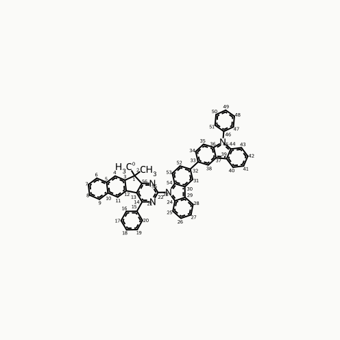 CC1(C)c2cc3ccccc3cc2-c2c(-c3ccccc3)nc(-n3c4ccccc4c4cc(-c5ccc6c(c5)c5ccccc5n6-c5ccccc5)ccc43)nc21